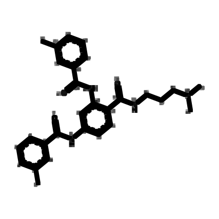 Cc1cccc(C(=O)Nc2ccc(C(=O)NCCCN(C)C)c(NC(=O)c3cccc(C)c3)c2)c1